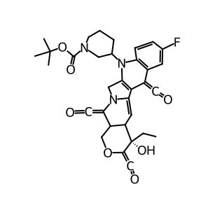 CC[C@@]1(O)C(=C=O)OCC2C(=C=O)N3CC4=C(C(=C=O)c5cc(F)ccc5N4C4CCCN(C(=O)OC(C)(C)C)C4)C3=CC21